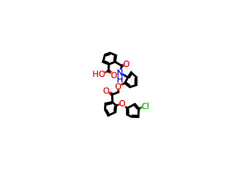 O=C(COc1ccccc1NC(=O)c1ccccc1C(=O)O)c1ccccc1Oc1cccc(Cl)c1